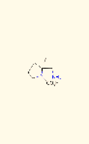 C[C@@]1(CN)CCCN1C(=O)O